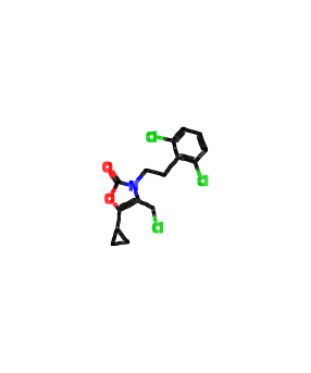 O=c1oc(C2CC2)c(CCl)n1CCc1c(Cl)cccc1Cl